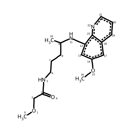 COCC(=O)NCCCC(C)Nc1cc(OC)cc2cccnc12